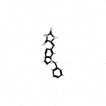 O=C1NC(=O)/C(=C\c2ccc3ccn(Cc4ccccc4)c3c2)S1